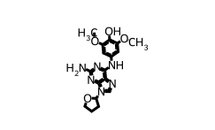 COc1cc(Nc2nc(N)nc3c2ncn3C2CCCO2)cc(OC)c1O